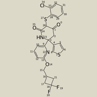 O=C1CC(c2ccsc2)(c2cccc(OCC3CC(F)(F)C3)n2)NC(=O)C1Sc1ccccc1Cl